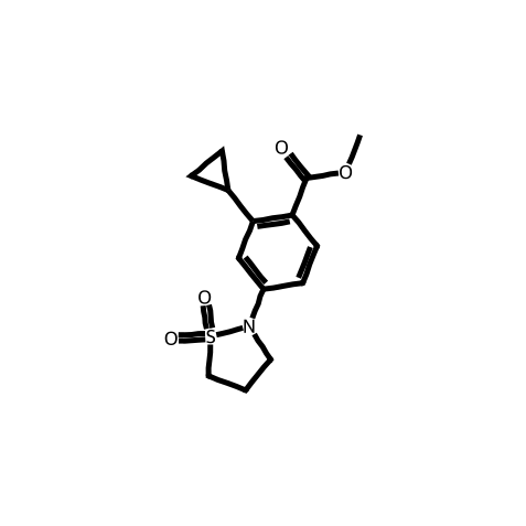 COC(=O)c1ccc(N2CCCS2(=O)=O)cc1C1CC1